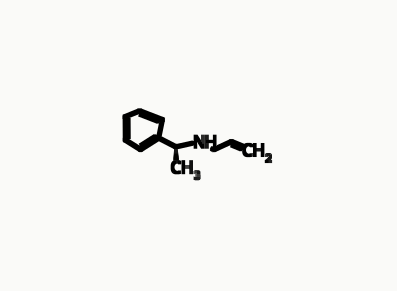 C=CCN[C@@H](C)c1ccccc1